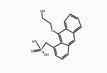 O=P(O)(O)Cc1cccc2cc3ccccc3c(OCCO)c12